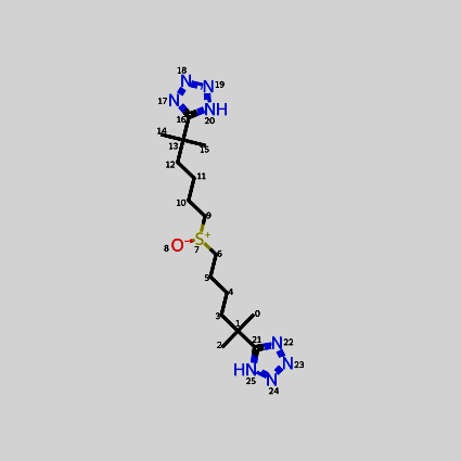 CC(C)(CCCC[S+]([O-])CCCCC(C)(C)c1nnn[nH]1)c1nnn[nH]1